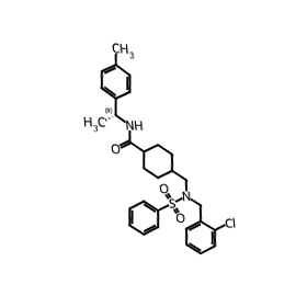 Cc1ccc([C@@H](C)NC(=O)C2CCC(CN(Cc3ccccc3Cl)S(=O)(=O)c3ccccc3)CC2)cc1